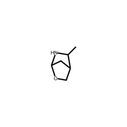 CC1NC2CC1CO2